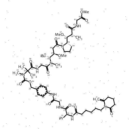 C=C1CCCC(=O)N1CCCCCC(=O)NC(C(=O)NCC(=O)Nc1ccc(COC(=O)N(C)C(C)(C)C(=O)NCC(=O)N(C)[C@@H]([C@@H](C)CC)[C@@H](CC(=O)N2CCC[C@H]2[C@H](OC)[C@@H](C)C(=O)NCC(=O)OC)OC)cc1)C(C)C